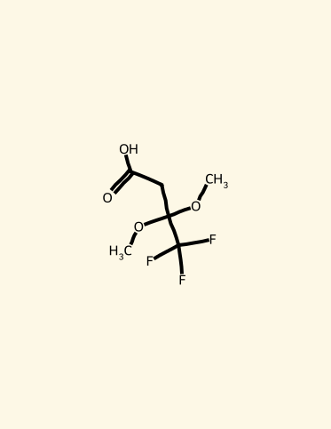 COC(CC(=O)O)(OC)C(F)(F)F